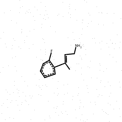 CC(=CCN)c1ccccc1F